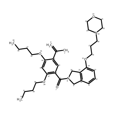 C=C(C)c1cc(C(=O)N2Cc3cccc(OCCCN4CCOCC4)c3C2)c(OCCCC)cc1OCCCC